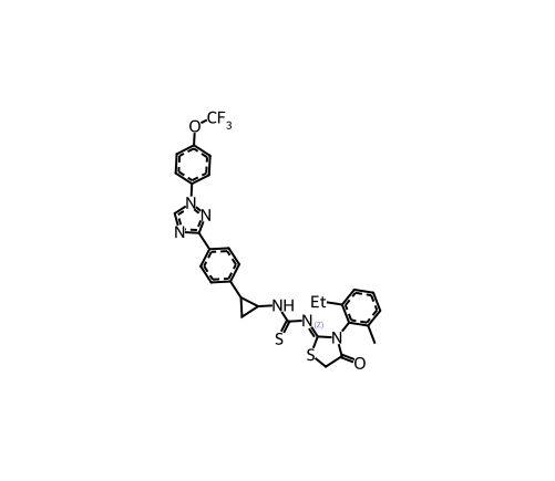 CCc1cccc(C)c1N1C(=O)CS/C1=N\C(=S)NC1CC1c1ccc(-c2ncn(-c3ccc(OC(F)(F)F)cc3)n2)cc1